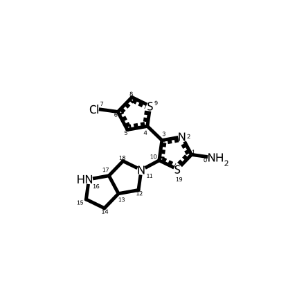 Nc1nc(-c2cc(Cl)cs2)c(N2CC3CCNC3C2)s1